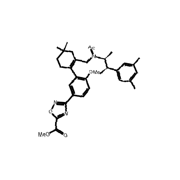 COC(=O)c1nc(-c2ccc(OC)c(C3=C(CN(C(C)=O)[C@@H](C)[C@H](C)c4cc(C)cc(C)c4)CC(C)(C)CC3)c2)no1